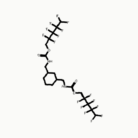 O=C(NCC1CCCC(CNC(=O)OCC(F)(F)C(F)(F)C(F)(F)C(F)F)C1)OCC(F)(F)C(F)(F)C(F)(F)C(F)F